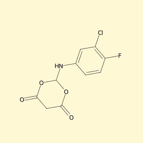 O=C1CC(=O)OC(Nc2ccc(F)c(Cl)c2)O1